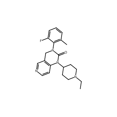 CCN1CCC(N2C(=O)N(c3c(C)cccc3F)Cc3cnccc32)CC1